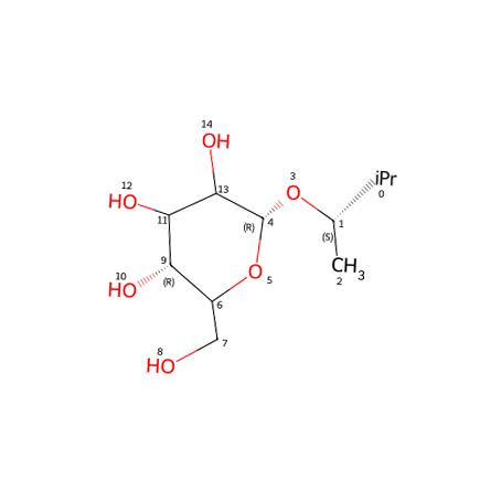 CC(C)[C@H](C)O[C@@H]1OC(CO)[C@H](O)C(O)C1O